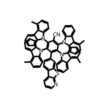 Cc1cccc2c1c1ccccc1n2-c1c(C#N)c(-n2c3ccccc3c3c(C)cccc32)c(-n2c3ccccc3c3c(C)cccc32)c(-c2ccc3c(c2)sc2ncccc23)c1-n1c2ccccc2c2c(C)cccc21